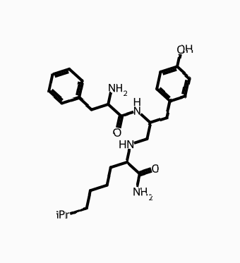 CC(C)CCCCC(NCC(Cc1ccc(O)cc1)NC(=O)C(N)Cc1ccccc1)C(N)=O